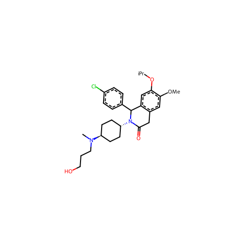 COc1cc2c(cc1OC(C)C)C(c1ccc(Cl)cc1)N([C@H]1CC[C@H](N(C)CCCO)CC1)C(=O)C2